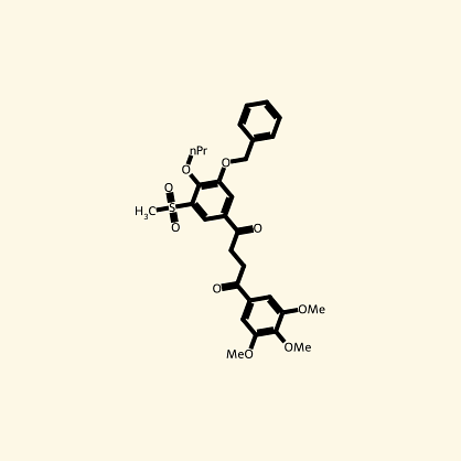 CCCOc1c(OCc2ccccc2)cc(C(=O)CCC(=O)c2cc(OC)c(OC)c(OC)c2)cc1S(C)(=O)=O